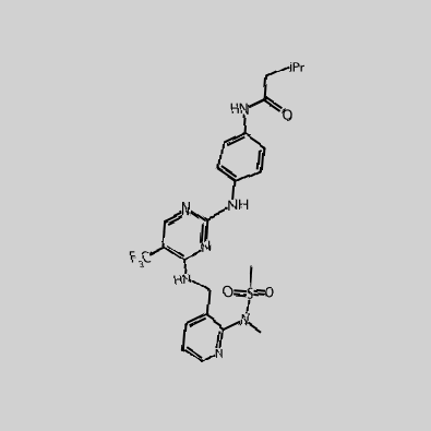 CC(C)CC(=O)Nc1ccc(Nc2ncc(C(F)(F)F)c(NCc3cccnc3N(C)S(C)(=O)=O)n2)cc1